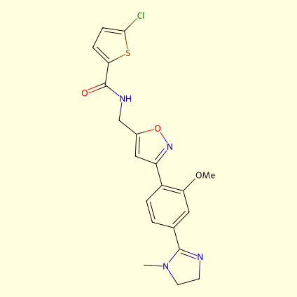 COc1cc(C2=NCCN2C)ccc1-c1cc(CNC(=O)c2ccc(Cl)s2)on1